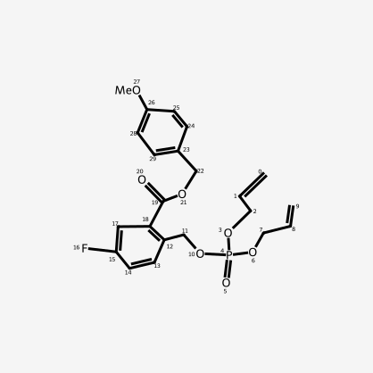 C=CCOP(=O)(OCC=C)OCc1ccc(F)cc1C(=O)OCc1ccc(OC)cc1